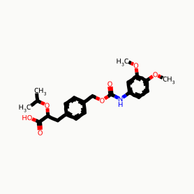 COc1ccc(NC(=O)OCc2ccc(CC(OC(C)C)C(=O)O)cc2)cc1OC